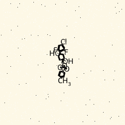 Cc1ccc(S(=O)(=O)OC[C@]2(O)CC[C@@](O)(c3c(F)cc(Cl)cc3F)CC2)cc1